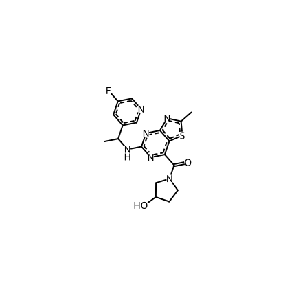 Cc1nc2nc(NC(C)c3cncc(F)c3)nc(C(=O)N3CCC(O)C3)c2s1